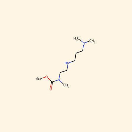 CN(C)CCCNCCN(C)C(=O)OC(C)(C)C